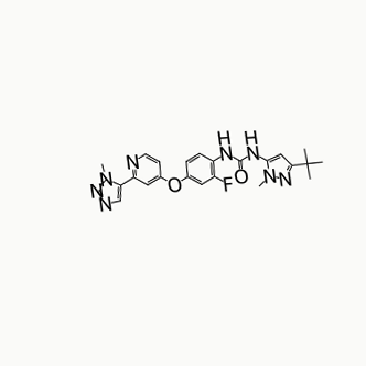 Cn1nc(C(C)(C)C)cc1NC(=O)Nc1ccc(Oc2ccnc(-c3cnnn3C)c2)cc1F